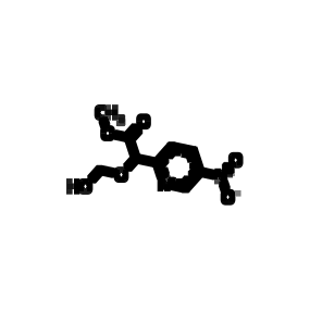 COC(=O)C(OCO)c1ccc([N+](=O)[O-])cn1